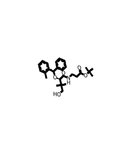 Cc1ccccc1C(O[C@@H](C(=O)NCCC(=O)OC(C)(C)C)C(C)(C)CO)c1ccccc1